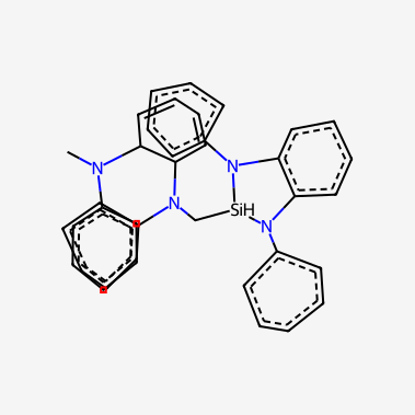 CN(c1ccccc1)C1C=CC=CC1N(C[SiH]1N(c2ccccc2)c2ccccc2N1c1ccccc1)c1ccccc1